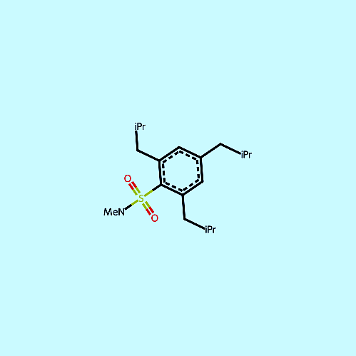 CNS(=O)(=O)c1c(CC(C)C)cc(CC(C)C)cc1CC(C)C